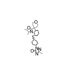 Cc1nn(-c2ccc(Sc3cccc(C4(C5=NC(C)C(C)O5)CCOCC4)c3)cc2)c(=O)n1C